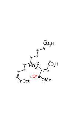 CCCCCCCC/C=C\CCCCCCCC(=O)O.COC(=O)C(CC(=O)O)C(=O)O